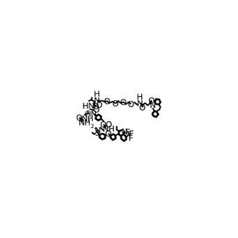 C/C=S(/c1cccc(Oc2cccc(-c3c(CC)cnc4c(C(F)(F)F)cccc34)c2)c1)N(C)CCNC(=O)OCc1ccc(NC(=O)[C@H](CCCNC(N)=O)NC(=O)[C@@H](NC(=O)CCOCCOCCOCCOCCNC(=O)CCC(=O)N2Cc3ccccc3CCc3ccccc32)C(C)C)cc1